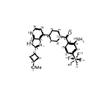 CO[C@H]1C[C@H](c2nc3c(C4CCN(C(=O)c5ccc(S(F)(F)(F)(F)F)cc5N)CC4)ccnc3[nH]2)C1